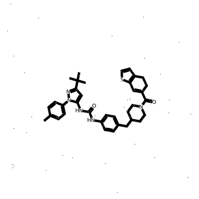 Cc1ccc(-n2nc(C(C)(C)C)cc2NC(=O)Nc2ccc(CC3CCN(C(=O)C4=Cc5sccc5CC4)CC3)cc2)cc1